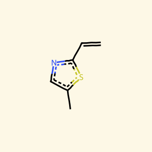 C=Cc1ncc(C)s1